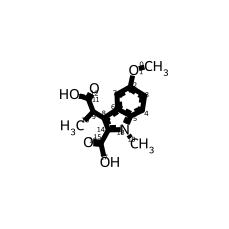 COc1ccc2c(c1)c(C(C)C(=O)O)c(C(=O)O)n2C